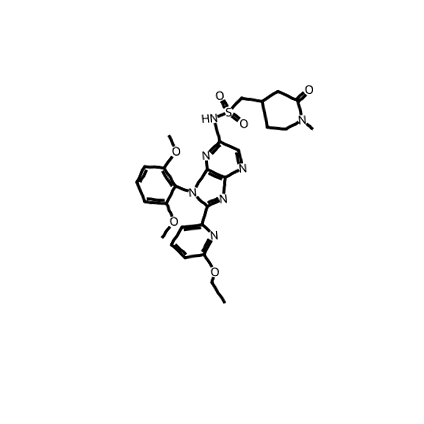 CCOc1cccc(-c2nc3ncc(NS(=O)(=O)CC4CCN(C)C(=O)C4)nc3n2-c2c(OC)cccc2OC)n1